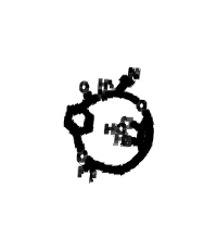 C[C@]1(C#N)COc2ccc(c(BO)c2Cl)CCCC(F)(F)Oc2ccc(cc2)C(=O)N1